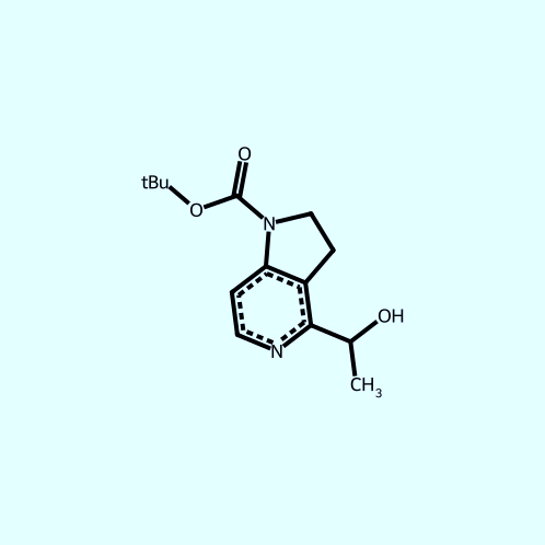 CC(O)c1nccc2c1CCN2C(=O)OC(C)(C)C